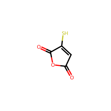 O=C1C=C(S)C(=O)O1